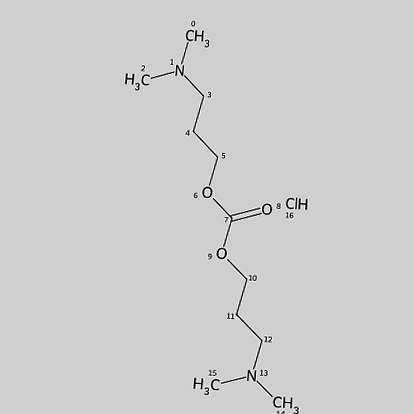 CN(C)CCCOC(=O)OCCCN(C)C.Cl